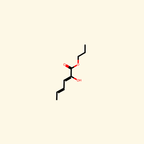 CC=CC=C(O)C(=O)OCCC